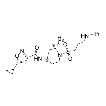 CC(C)NCCCS(=O)(=O)N1CC[C@H](NC(=O)c2cc(C3CC3)on2)C[C@@H]1C